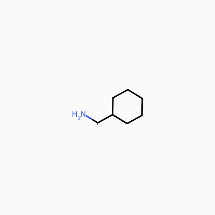 N[CH]C1CCCCC1